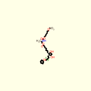 CC(COC(=O)CCCC=CC[C@@H]1[C@@H](C=CC(F)(F)COc2ccccc2)[C@H](O)C[C@@H]1O)NC(=O)OCCCCCCO[N+](=O)[O-]